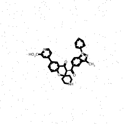 Cc1nn(-c2ccccc2)c2ccc(C(=O)[C@@H]3C(=O)c4cc(-c5ccnc(C(=O)O)c5)ccc4OC34CCNCC4)cc12